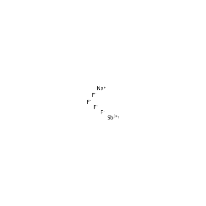 [F-].[F-].[F-].[F-].[Na+].[Sb+3]